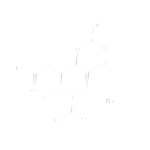 CC(=O)Oc1c(Cl)cc(C(=O)[O-])c(Cl)c1OC(C)=O.[Na+]